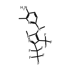 Cc1nc(N(C)c2c(C(F)(F)F)c(C(F)(F)C(F)(F)F)nn2C)ccc1N